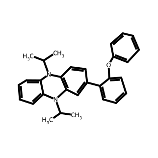 CC(C)N1c2ccccc2N(C(C)C)c2cc(-c3ccccc3Oc3ccccc3)ccc21